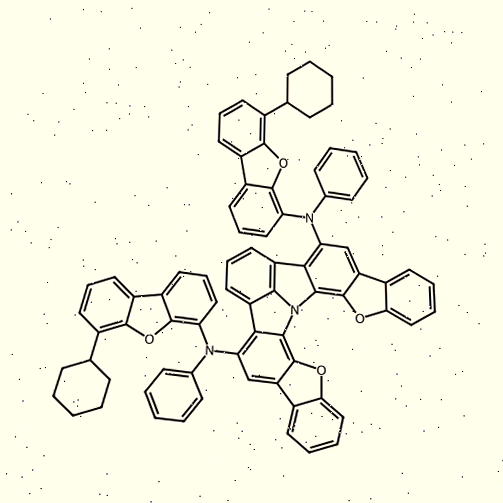 c1ccc(N(c2cccc3c2oc2c(C4CCCCC4)cccc23)c2cc3c4ccccc4oc3c3c2c2cccc4c5c(N(c6ccccc6)c6cccc7c6oc6c(C8CCCCC8)cccc67)cc6c7ccccc7oc6c5n3c24)cc1